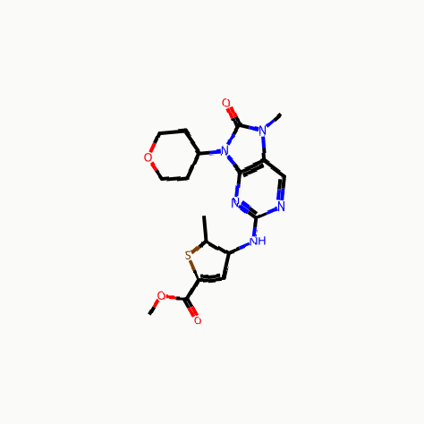 COC(=O)C1=CC(Nc2ncc3c(n2)n(C2CCOCC2)c(=O)n3C)C(C)S1